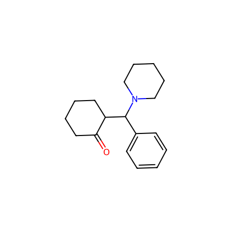 O=C1CCCCC1C(c1ccccc1)N1CCCCC1